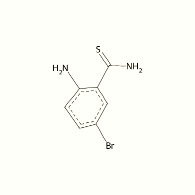 NC(=S)c1cc(Br)ccc1N